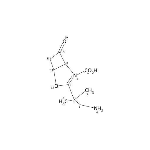 CC(C)(CN)C1=[N+](C(=O)O)C2C(=O)CC2O1